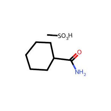 CS(=O)(=O)O.NC(=O)C1CCCCC1